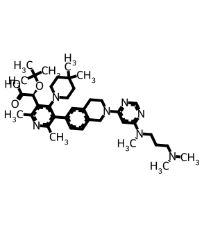 Cc1nc(C)c([C@H](OC(C)(C)C)C(=O)O)c(N2CCC(C)(C)CC2)c1-c1ccc2c(c1)CCN(c1cc(N(C)CCCN(C)C)ncn1)C2